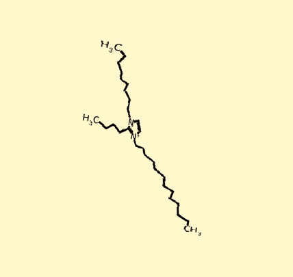 CCCCCCCCCCCCC[n+]1ccn(CCCCCCCCC)c1CCCC